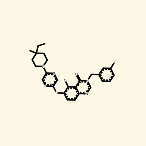 CCC1(C)CCN(c2cnc(Sc3ccc4ncn(Cc5cccc(F)c5)c(=O)c4c3Cl)cn2)CC1